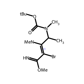 CN/C(=C(/Br)C(=N)OC)C(C)N(C)C(=O)OC(C)(C)C